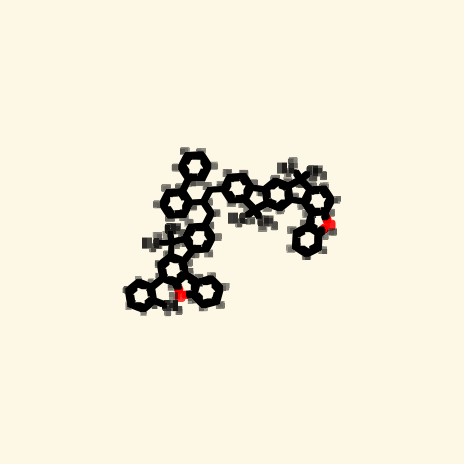 Cc1ccccc1-c1cc2c(c3c1oc1ccccc13)-c1ccc(CC(Cc3ccc4c(c3)C(C)(C)c3cc5c(cc3-4)C(C)(C)c3ccc4oc6ccccc6c4c3-5)c3ccccc3-c3ccccc3)cc1C2(C)C